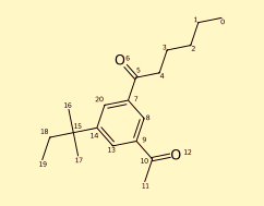 CCCCCC(=O)c1cc(C(C)=O)cc(C(C)(C)CC)c1